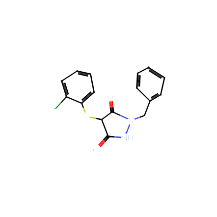 O=C1NN(Cc2ccccc2)C(=O)C1Sc1ccccc1Cl